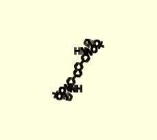 CC(C)(C)OC(=O)N1CCC[C@H]1c1nc2ccc(-c3ccc4cc(-c5ccc6nc([C@@H]7CCCN7C(=O)OC(C)(C)C)[nH]c6c5)ccc4c3)cc2[nH]1